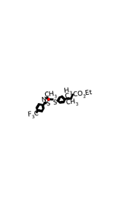 CCOC(=O)CCC(C)(C)c1ccc(SCc2sc(-c3ccc(C(F)(F)F)cc3)nc2C)cc1